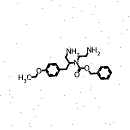 CCOc1ccc(CC(CN)N(CCN)C(=O)OCc2ccccc2)cc1